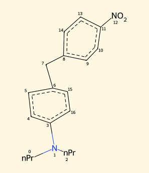 CCCN(CCC)c1ccc(Cc2ccc([N+](=O)[O-])cc2)cc1